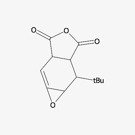 CC(C)(C)C1C2OC2=CC2C(=O)OC(=O)C21